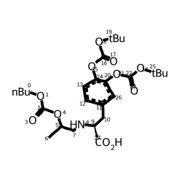 CCCCOC(=O)OC(C)CN[C@@H](Cc1ccc(OC(=O)OC(C)(C)C)c(OC(=O)OC(C)(C)C)c1)C(=O)O